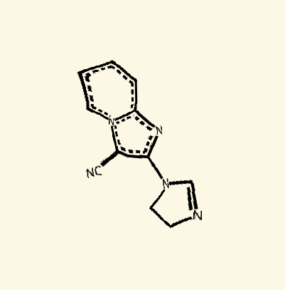 N#Cc1c(N2C=NCC2)nc2ccccn12